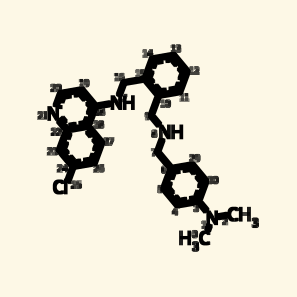 CN(C)c1ccc(CNCc2ccccc2CNc2ccnc3cc(Cl)ccc23)cc1